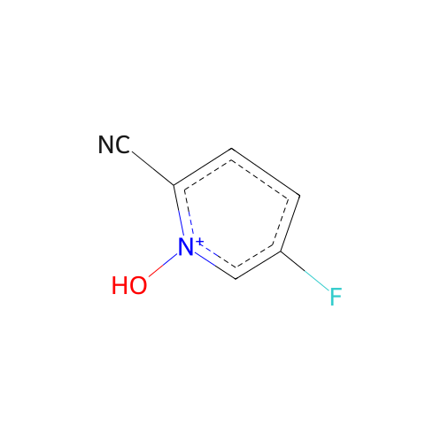 N#Cc1ccc(F)c[n+]1O